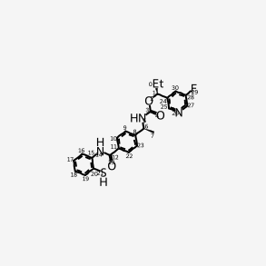 CC[C@H](OC(=O)N[C@@H](C)c1ccc(C(=O)Nc2ccccc2S)cc1)c1cncc(F)c1